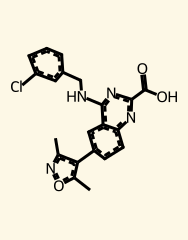 Cc1noc(C)c1-c1ccc2nc(C(=O)O)nc(NCc3cccc(Cl)c3)c2c1